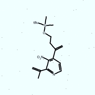 C=C(CCO[Si](C)(C)C(C)(C)C)c1ccnc(C(=C)C)c1[N+](=O)[O-]